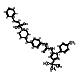 Cc1ccc(-n2nc(C(C)(C)C)cc2NC(=O)Nc2ccc(CC3CCN(S(=O)(=O)/C=C/c4ccccc4)CC3)cc2)cc1